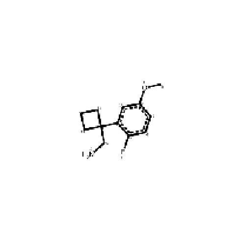 COc1ccc(F)c(C2(CN)CCC2)c1